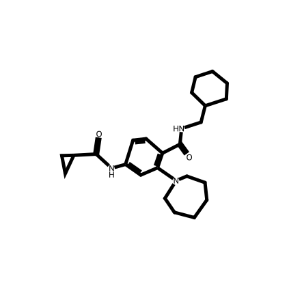 O=C(NCC1CCCCC1)c1ccc(NC(=O)C2CC2)cc1N1CCCCCC1